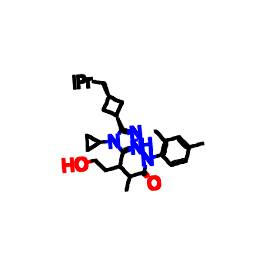 Cc1ccc(NC(=O)C(C)C(CCO)c2nnc([C@H]3C[C@@H](CC(C)C)C3)n2C2CC2)c(C)c1